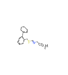 O=C(O)CN=CSCc1ccccc1-c1ccccc1